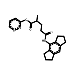 CC(CCC(=O)Nc1c2c(cc3c1CCC3)CCC2)C(=O)Oc1cccnn1